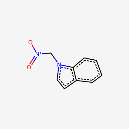 O=[N+]([O-])Cn1ccc2ccccc21